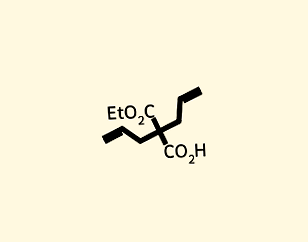 C=CCC(CC=C)(C(=O)O)C(=O)OCC